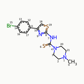 CN1CCN(C(=S)Nc2nc(-c3ccc(Br)cc3)cs2)CC1